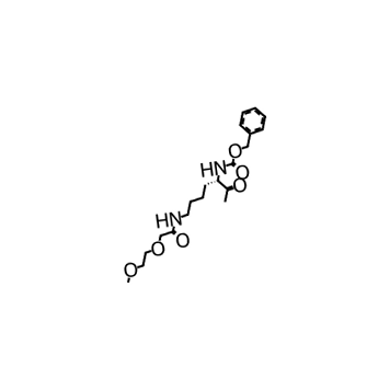 COCCOCC(=O)NCCCC[C@H](NC(=O)OCc1ccccc1)C(C)=O